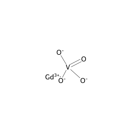 [Gd+3].[O]=[V]([O-])([O-])[O-]